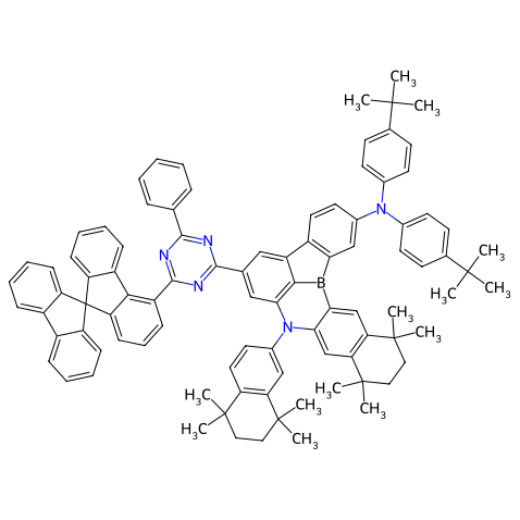 CC(C)(C)c1ccc(N(c2ccc(C(C)(C)C)cc2)c2ccc3c(c2)B2c4cc5c(cc4N(c4ccc6c(c4)C(C)(C)CCC6(C)C)c4cc(-c6nc(-c7ccccc7)nc(-c7cccc8c7-c7ccccc7C87c8ccccc8-c8ccccc87)n6)cc-3c42)C(C)(C)CCC5(C)C)cc1